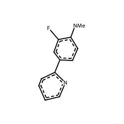 CNc1ccc(-c2ccccn2)cc1F